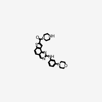 O=C(c1cc2c(ccc3cnc(Nc4cccc(N5CCOCC5)c4)nc32)s1)N1CCNCC1